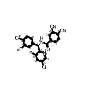 N#Cc1ccc(C(=O)N[C@@H](c2ccc(Cl)c(F)c2)c2ncc(Cl)cc2F)cc1C#N